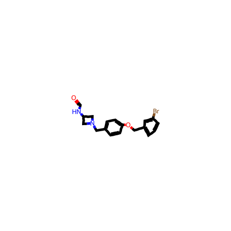 O=CNC1CN(Cc2ccc(OCc3cccc(Br)c3)cc2)C1